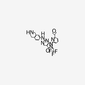 O=c1c2cnc(Nc3ccc4c(c3)CNCC4)nc2n(-c2cccc(C3COC3)n2)n1CC(F)(F)F